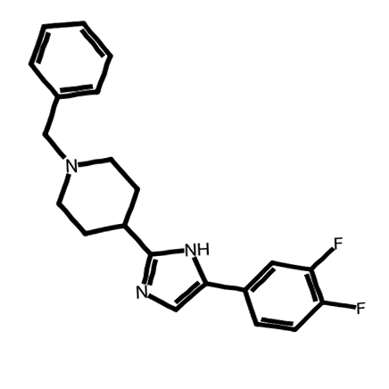 Fc1ccc(-c2cnc(C3CCN(Cc4ccccc4)CC3)[nH]2)cc1F